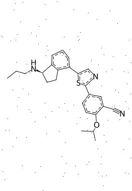 CCCN[C@@H]1CCc2c(-c3cnc(-c4ccc(OC(C)C)c(C#N)c4)s3)cccc21